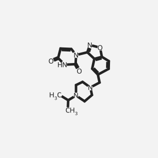 CC(C)N1CCN(Cc2ccc3onc(-n4ccc(=O)[nH]c4=O)c3c2)CC1